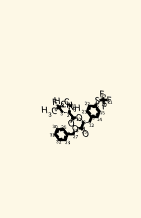 CN[C@@H](CC(C)(C)F)C(=O)O[C@H](Cc1ccc(SC(F)(F)F)cc1)C(=O)OCc1ccccc1